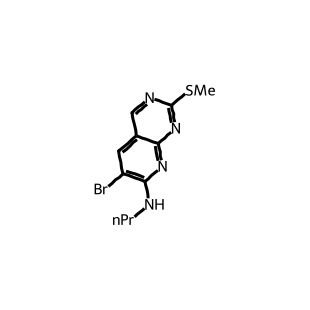 CCCNc1nc2nc(SC)ncc2cc1Br